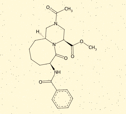 COC(=O)[C@@H]1CN(C(C)=O)C[C@@H]2CCCC[C@H](NC(=O)c3ccccc3)C(=O)N21